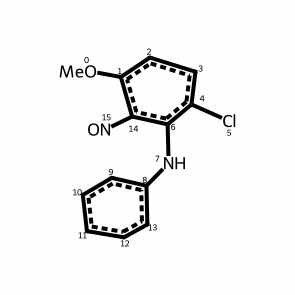 COc1ccc(Cl)c(Nc2ccccc2)c1N=O